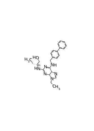 CC[C@H](CO)NC1=NC2C(N=CN2CC)C(NCc2ccc(-c3ccccc3)cc2)=N1